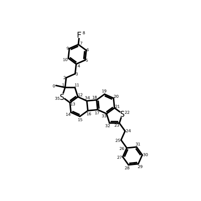 CC1(CCc2ccc(F)cc2)CC2=C(C=CC3c4c(ccc5sc(CCc6ccccc6)cc45)C23)S1